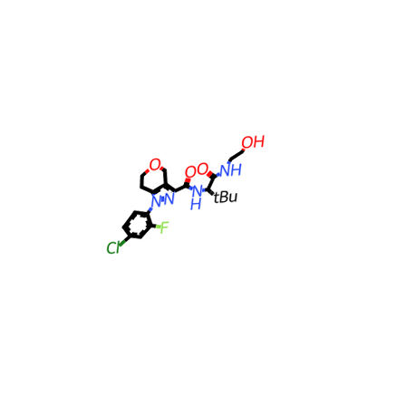 CC(C)(C)C(NC(=O)c1nn(-c2ccc(Cl)cc2F)c2c1COCC2)C(=O)NCCO